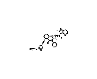 Cc1nn2cccnc2c1C(=O)N[C@H](C)c1nc2cccc(C#Cc3cnn(CCO)c3)c2c(=O)n1-c1ccccc1